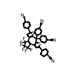 N#Cc1ccc(-c2cc3c(s2)C(c2ccc(C#N)cc2)(c2ccc(C#N)cc2)c2sc(-c4ccc(C#N)cc4)cc2C2=C3C(F)(F)C(F)(F)C2(F)F)cc1